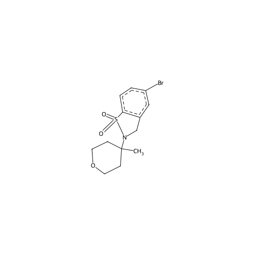 CC1(N2Cc3cc(Br)ccc3S2(=O)=O)CCOCC1